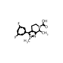 CC1c2nn(C)c(-c3cc(F)cc(F)c3)c2CCN1C(=O)O